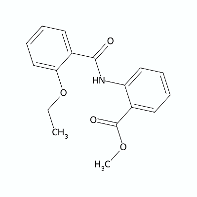 CCOc1ccccc1C(=O)Nc1ccccc1C(=O)OC